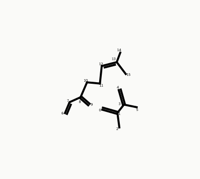 C=C(C)C(=C)C.C=CC(=C)CCC=C(C)C